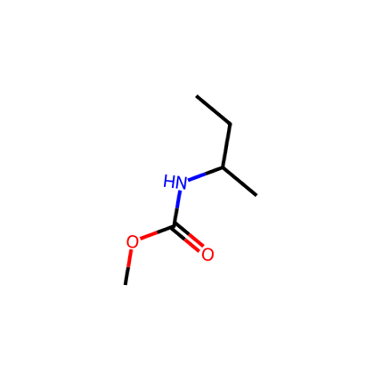 CCC(C)NC(=O)OC